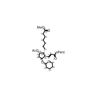 CCCCCC(=O)/C=C/[C@@H]1[C@@H](CCCCCCC(=O)OC)[C@@H](OC(C)=O)C[C@H]1OC1CCCCO1